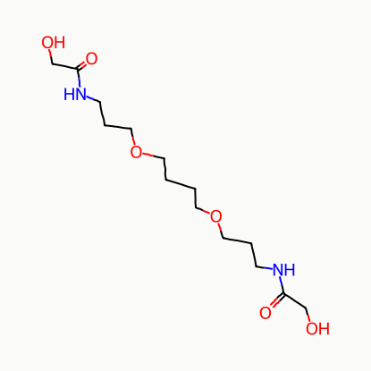 O=C(CO)NCCCOCCCCOCCCNC(=O)CO